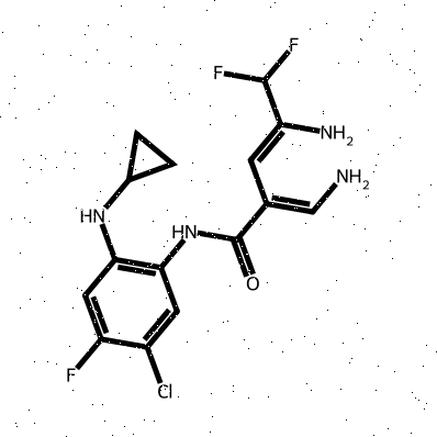 N/C=C(\C=C(/N)C(F)F)C(=O)Nc1cc(Cl)c(F)cc1NC1CC1